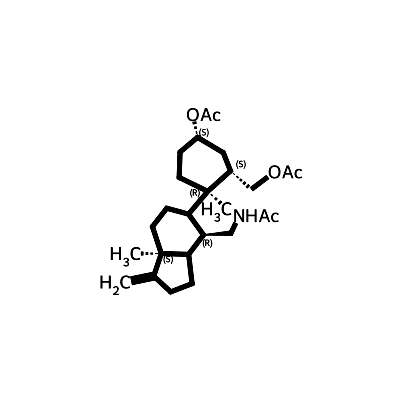 C=C1CCC2[C@H](CNC(C)=O)C([C@@]3(C)CC[C@H](OC(C)=O)C[C@@H]3COC(C)=O)CC[C@]12C